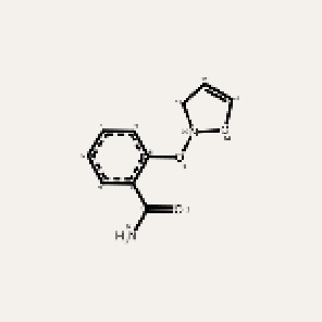 NC(=O)c1ccccc1ON1CC=CO1